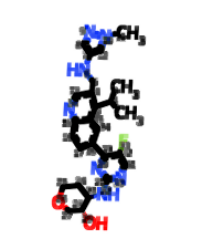 CC(C)c1c(CNc2cnn(C)c2)cnc2ccc(-c3nc(N[C@@H]4CCOC[C@H]4O)ncc3F)cc12